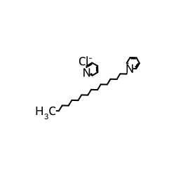 CCCCCCCCCCCCCCCC[n+]1ccccc1.[Cl-].c1ccncc1